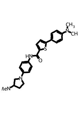 CNC1CCN(c2ccc(NC(=O)c3ccc(-c4ccc(N(C)C)cc4)s3)cc2)C1